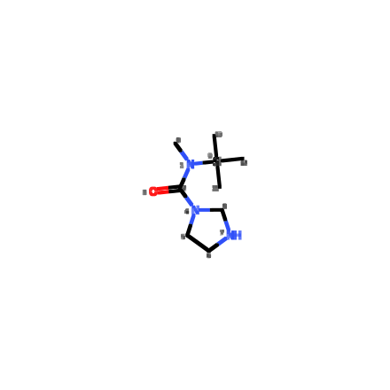 CN(C(=O)N1CCNC1)[Si](C)(C)C